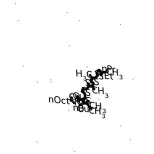 CCCCCCCCC(C)CN1C(=O)c2c(-c3ccc(-c4sc5c(C)c(-c6ccc(C(C)(CC)CCC)s6)sc5c4C)s3)sc(C(C)(C)CCCC)c2C1=O